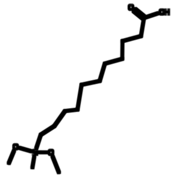 CO[Si](C)(CCCCCCCCCCC(=O)O)OC